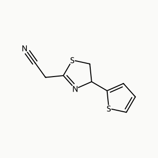 N#CCC1=NC(c2cccs2)CS1